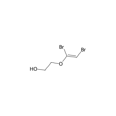 OCCOC(Br)=CBr